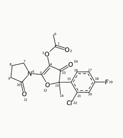 CC(=O)OC1=C(N2CCCC2=O)OC(C)(c2ccc(F)cc2Cl)C1=O